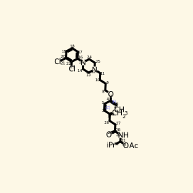 C=C(/C=C\C(=C/C)OCCCCN1CCN(c2cccc(Cl)c2Cl)CC1)CCC(=O)NC(OC(C)=O)C(C)C